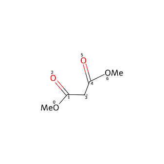 COC(=O)[CH]C(=O)OC